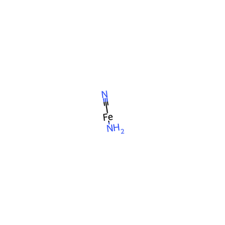 N#[C][Fe][NH2]